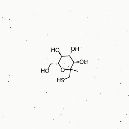 CC1(CS)O[C@H](CO)[C@@H](O)[C@H](O)[C@H]1O